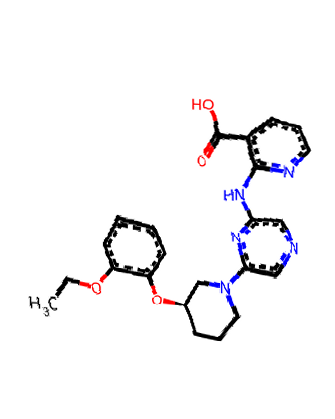 CCOc1ccccc1O[C@@H]1CCCN(c2cncc(Nc3ncccc3C(=O)O)n2)C1